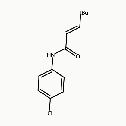 CC(C)(C)/C=C/C(=O)Nc1ccc(Cl)cc1